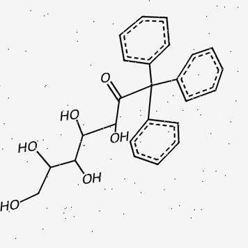 O=C(C(O)C(O)C(O)C(O)CO)C(c1ccccc1)(c1ccccc1)c1ccccc1